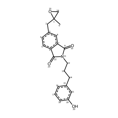 CC1(Cc2ccc3c(c2)C(=O)N(CCCc2cccc(O)c2)C3=O)CO1